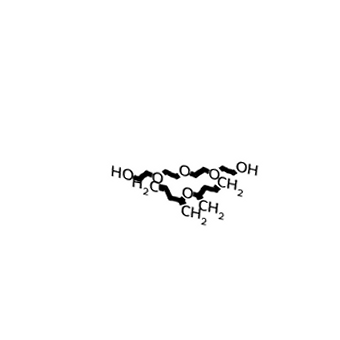 C=CCC(=C)OC(=C)CC=C.OCCOCCOCCOCCO